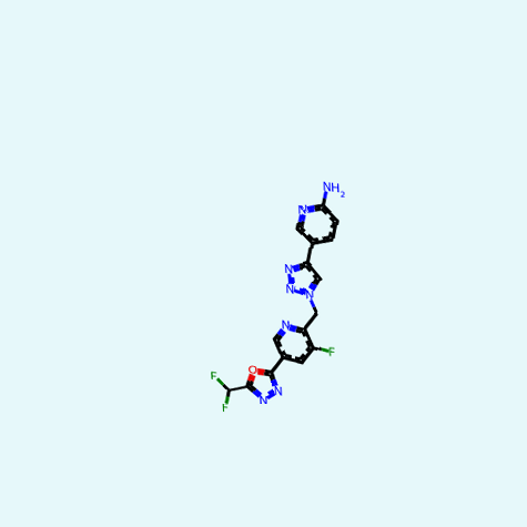 Nc1ccc(-c2cn(Cc3ncc(-c4nnc(C(F)F)o4)cc3F)nn2)cn1